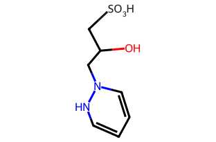 O=S(=O)(O)CC(O)CN1C=CC=CN1